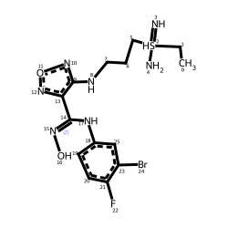 CC[SH](=N)(N)CCCNc1nonc1/C(=N/O)Nc1ccc(F)c(Br)c1